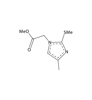 COC(=O)Cn1cc(C)nc1SC